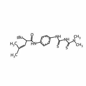 CC(C)=CC(C(=O)Nc1ccc(NC(=S)NC(=S)N(C)C)cc1)C(C)(C)C